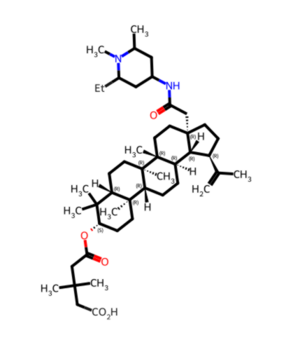 C=C(C)[C@@H]1CC[C@]2(CC(=O)NC3CC(C)N(C)C(CC)C3)CC[C@]3(C)[C@H](CC[C@@H]4[C@@]5(C)CC[C@H](OC(=O)CC(C)(C)CC(=O)O)C(C)(C)[C@@H]5CC[C@]43C)[C@@H]12